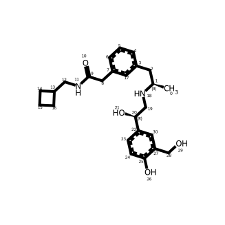 C[C@H](Cc1cccc(CC(=O)NCC2CCC2)c1)NC[C@H](O)c1ccc(O)c(CO)c1